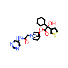 O=C(C[N+]12CCC(CC1)C(OC(=O)[C@](O)(c1ccsc1)C1CCCCC1)C2)Nc1cncnc1